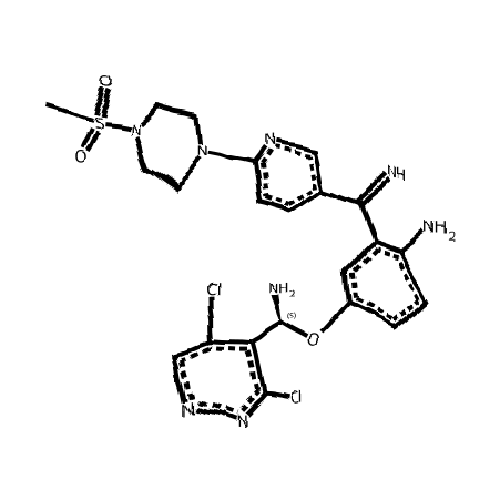 CS(=O)(=O)N1CCN(c2ccc(C(=N)c3cc(O[C@H](N)c4c(Cl)cnnc4Cl)ccc3N)cn2)CC1